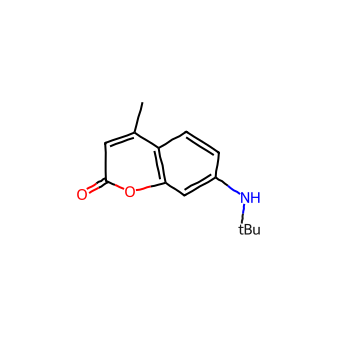 Cc1cc(=O)oc2cc(NC(C)(C)C)ccc12